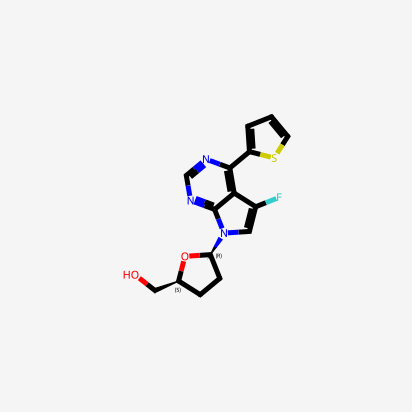 OC[C@@H]1CC[C@H](n2cc(F)c3c(-c4cccs4)ncnc32)O1